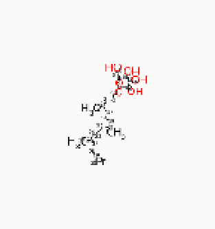 CC(=CCCOC1OC(CO)C(O)C(O)C1O)CCCC(C)CCCC(C)CCCC(C)C